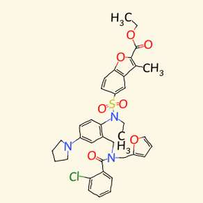 CCOC(=O)c1oc2ccc(S(=O)(=O)N(CC)c3ccc(N4CCCC4)cc3CN(Cc3ccco3)C(=O)c3ccccc3Cl)cc2c1C